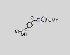 CCC(O)COc1ccc(C(=O)/C=C/c2ccc(OC)cc2)cc1